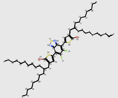 CCCCCCCCCCC(CCCCCCCC)Cc1cc(-c2c(F)c(F)c(-c3cc(CC(CCCCCCCC)CCCCCCCCCC)c(Br)s3)c3nsnc23)sc1Br